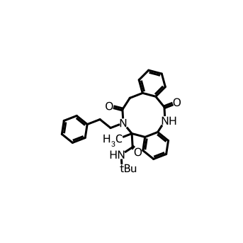 CC(C)(C)NC(=O)C1(C)c2ccccc2NC(=O)c2ccccc2CC(=O)N1CCc1ccccc1